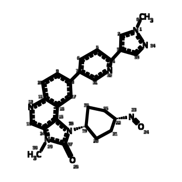 Cn1cc(-c2ccc(-c3ccc4ncc5c(c4c3)n([C@H]3CC[C@@H](N=O)CC3)c(=O)n5C)cn2)cn1